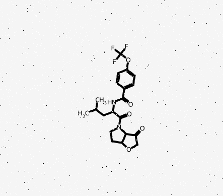 CC(C)CC(NC(=O)c1ccc(OC(F)(F)F)cc1)C(=O)N1CCC2OCC(=O)C21